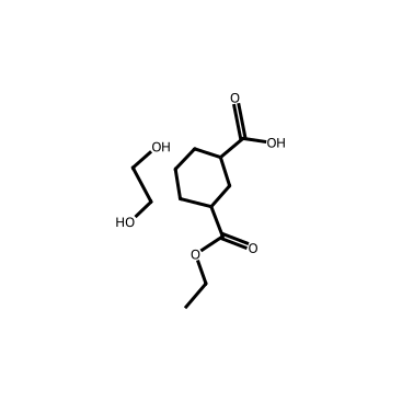 CCOC(=O)C1CCCC(C(=O)O)C1.OCCO